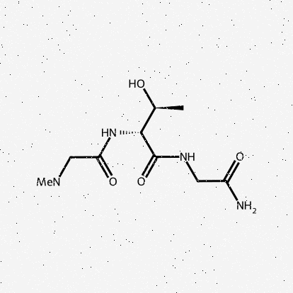 CNCC(=O)N[C@@H](C(=O)NCC(N)=O)[C@H](C)O